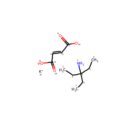 CCC(N)(CC)CC.O=C([O-])/C=C/C(=O)O.[K+]